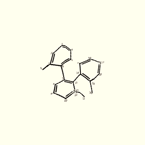 Cc1ccccc1-c1ccc[n+](C)c1-c1ccncc1C